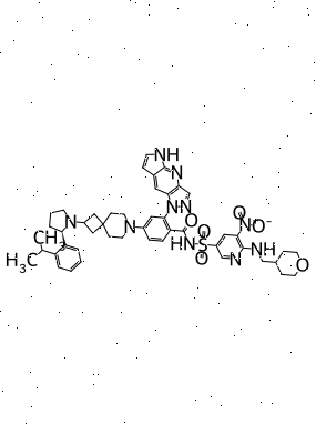 CC(C)c1ccccc1[C@H]1CCCN1C1CC2(CCN(c3ccc(C(=O)NS(=O)(=O)c4cnc(NCC5CCOCC5)c([N+](=O)[O-])c4)c(-n4ncc5nc6[nH]ccc6cc54)c3)CC2)C1